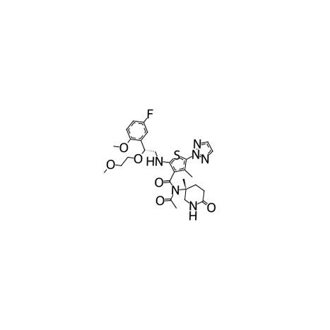 COCCO[C@@H](CNc1sc(-n2nccn2)c(C)c1C(=O)N(C(C)=O)[C@]1(C)CCC(=O)NC1)c1cc(F)ccc1OC